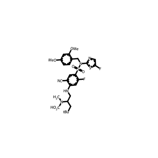 COc1ccc(CN(c2ncc(F)s2)S(=O)(=O)c2cc(C#N)c(NCC(CC(C)(C)C)N(C)C(=O)O)cc2F)c(OC)c1